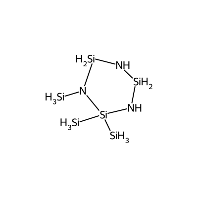 [SiH3]N1[SiH2]N[SiH2]N[Si]1([SiH3])[SiH3]